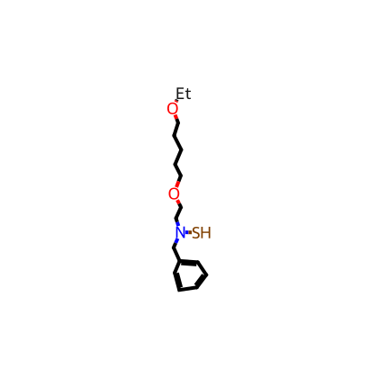 CCOCCCCCOCCN(S)Cc1ccccc1